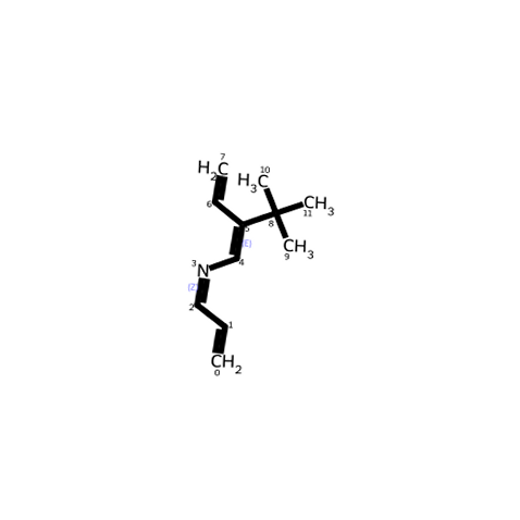 C=C/C=N\C=C(/C=C)C(C)(C)C